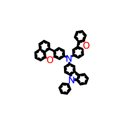 c1ccc(-n2c3ccccc3c3cc(N(c4ccc5c(c4)Oc4cccc6cccc-5c46)c4ccc5oc6ccccc6c5c4)ccc32)cc1